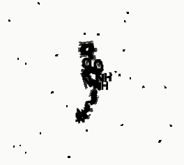 O=c1[nH]c(NCCSCc2cnsn2)ncc1OCc1ccccc1